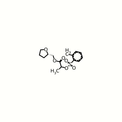 Cc1ccccc1S(=O)(=O)OC(C)C(=O)OC[C@@H]1CCCO1